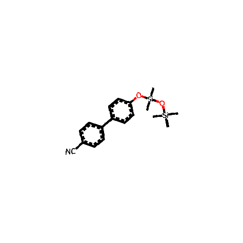 C[Si](C)(C)O[Si](C)(C)Oc1ccc(-c2ccc(C#N)cc2)cc1